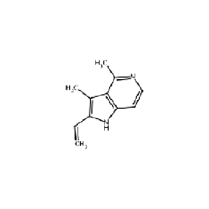 C=Cc1[nH]c2ccnc(C)c2c1C